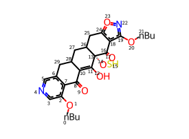 CCCCOc1cncc2c1C(=O)C1=C(O)[C@]3(OS)C(=O)c4c(OCCCC)noc4CC3CC1C2